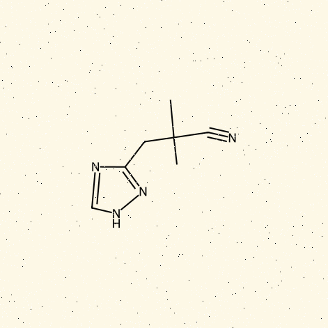 CC(C)(C#N)Cc1nc[nH]n1